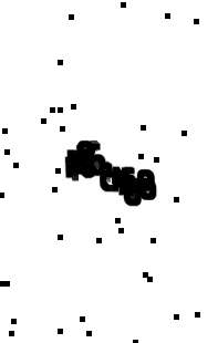 COC(=O)c1cc(OC)c2nc(N3CC(c4ccc(OCc5c(-c6ccccc6OC(F)(F)F)noc5C5CC5)cc4Cl)C3)sc2c1